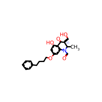 CC1/C(=C/O)C(=O)c2c(O)cc(OCCCCc3ccccc3)cc2N1C=O